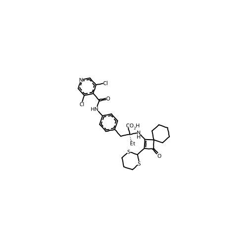 CC[C@@](Cc1ccc(NC(=O)c2c(Cl)cncc2Cl)cc1)(NC1=C(C2SCCCS2)C(=O)C12CCCCC2)C(=O)O